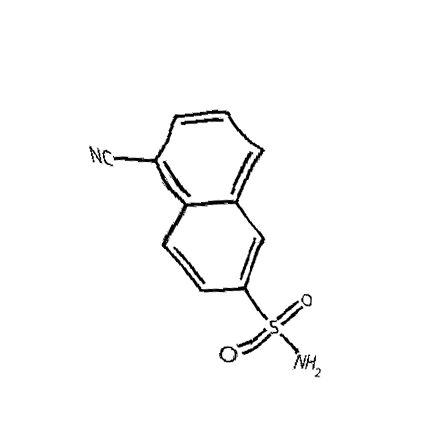 N#Cc1cccc2cc(S(N)(=O)=O)ccc12